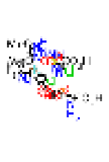 CC(C)OC(=O)c1cc(-c2nn(C)c(C(F)(F)F)c2Br)c(F)cc1Cl.COc1cc(OC)nc(NC(=O)NS(=O)(=O)c2c(C(=O)O)c(Cl)nn2C)n1.CP(=O)(O)CCC(N)C(=O)O